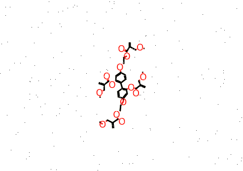 C=C(COC)C(=O)OCCOc1ccc(-c2ccc(OCCOC(=O)C(=C)COC)cc2OC(=O)C(=C)COC)c(OC(=O)C(=C)COC)c1